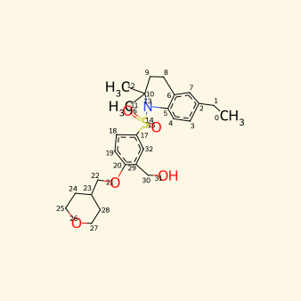 CCc1ccc2c(c1)CCC(C)(C)N2S(=O)(=O)c1ccc(OCC2CCOCC2)c(CO)c1